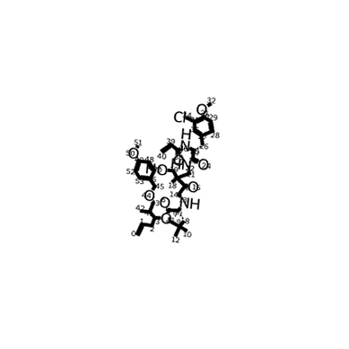 C=CCC(OC(=O)[C@@H](CC(C)(C)C)NCC(=O)C(C)(CO)CNC(=O)[C@@H](Cc1ccc(OC)c(Cl)c1)NC(=O)C=C)C(C)COCc1ccc(OC)cc1